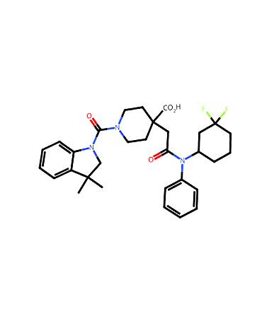 CC1(C)CN(C(=O)N2CCC(CC(=O)N(c3ccccc3)C3CCCC(F)(F)C3)(C(=O)O)CC2)c2ccccc21